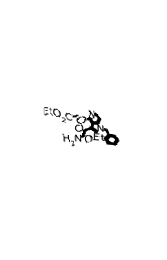 CCOC(=O)COc1nccc2c1c(C(=O)C(N)=O)c(CC)n2Cc1ccccc1